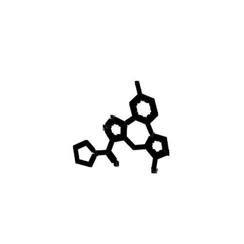 Cc1ccc2c(c1)-n1nnc(C(=O)N3CCCC3)c1Cc1c(Br)ncn1-2